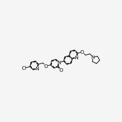 O=c1cc(OCc2ccc(Cl)cn2)ccn1-c1ccc2nc(OCCN3CCCC3)ccc2c1